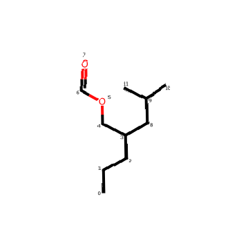 CCCC(COC=O)CC(C)C